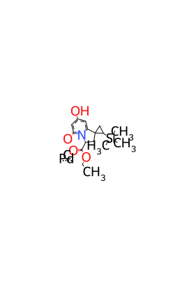 CCOC(=O)C1CC2(CC2[Si](C)(C)C)c2cc(O)cc(=O)n21.[C].[Pd]